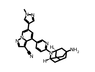 Cn1cc(-c2cc(-c3ccc(N4[C@@H]5CC6C[C@H]4CC(N)(C6)C5)nc3)c3c(C#N)cnn3c2)cn1